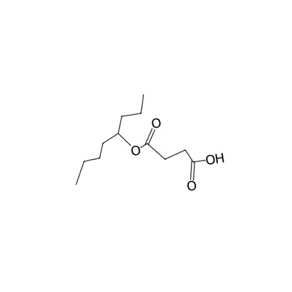 CCCCC(CCC)OC(=O)CCC(=O)O